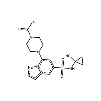 CC(C)C(=O)N1CCN(c2cc(S(=O)(=O)NC3(C#N)CC3)cc3ccnn23)CC1